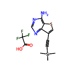 C[Si](C)(C)C#Cc1csc2c(N)ncnc12.O=C(O)C(F)(F)F